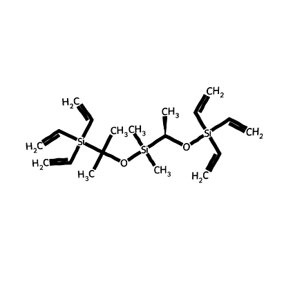 C=C[Si](C=C)(C=C)O[C@H](C)[Si](C)(C)OC(C)(C)[Si](C=C)(C=C)C=C